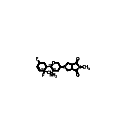 CN1C(=O)C2CN(C3CO[C@H](C4C=C(F)C=C[C@@]4(C)F)[C@@H](N)C3)CC2C1=O